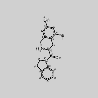 Cc1cc(O)cc(Br)c1C[C@H](N)C(=O)N1CCc2ccccc21